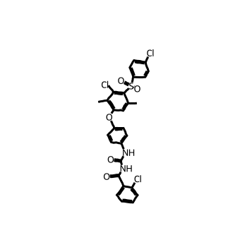 Cc1cc(Oc2ccc(NC(=O)NC(=O)c3ccccc3Cl)cc2)c(C)c(Cl)c1S(=O)(=O)c1ccc(Cl)cc1